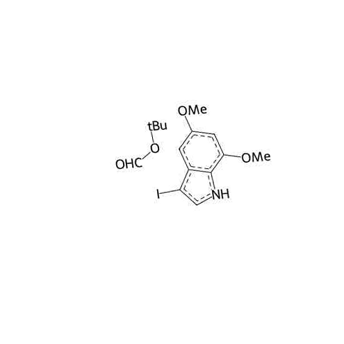 CC(C)(C)OC=O.COc1cc(OC)c2[nH]cc(I)c2c1